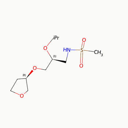 CC(C)O[C@@H](CNS(C)(=O)=O)CO[C@@H]1CCOC1